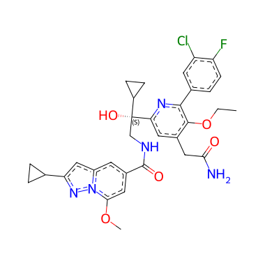 CCOc1c(CC(N)=O)cc([C@@](O)(CNC(=O)c2cc(OC)n3nc(C4CC4)cc3c2)C2CC2)nc1-c1ccc(F)c(Cl)c1